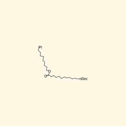 CCCCCCCCCCCCCCCCCCCCCC(=O)OCCCCCCCCCC(C)C